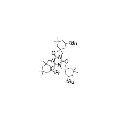 CC(C)C1CC(C)(C)CC(C)(Cn2c(=O)n(CC3(C)CC(C(C)(C)C)CC(C)(C)C3)c(=O)n(CC3(C)CC(C(C)(C)C)CC(C)(C)C3)c2=O)C1